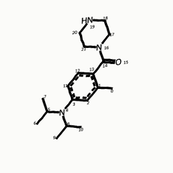 Cc1cc(N(C(C)C)C(C)C)ccc1C(=O)N1CCNCC1